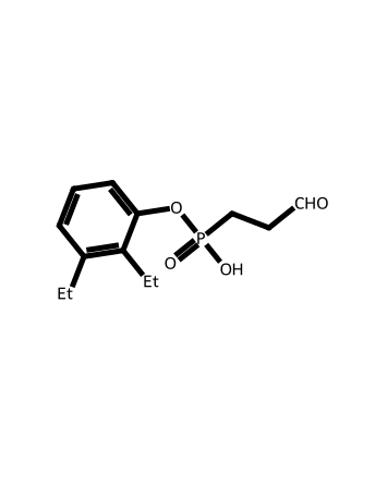 CCc1cccc(OP(=O)(O)CCC=O)c1CC